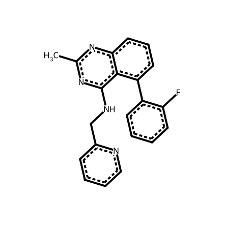 Cc1nc(NCc2ccccn2)c2c(-c3ccccc3F)cccc2n1